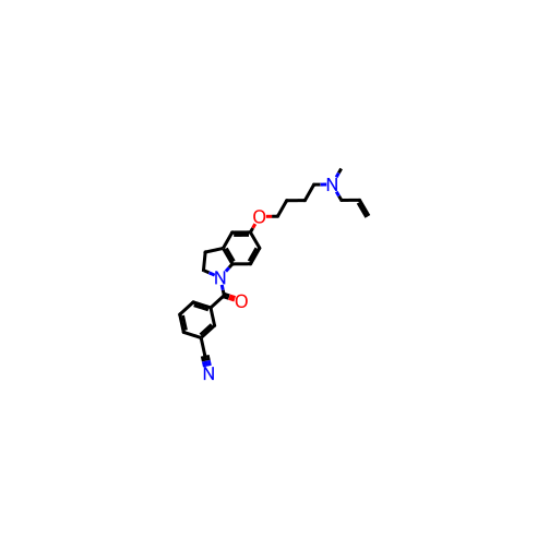 C=CCN(C)CCCCOc1ccc2c(c1)CCN2C(=O)c1cccc(C#N)c1